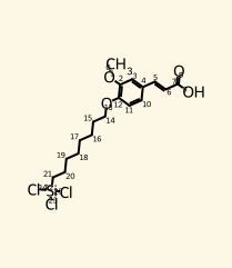 COc1cc(C=CC(=O)O)ccc1OCCCCCCCC[Si](Cl)(Cl)Cl